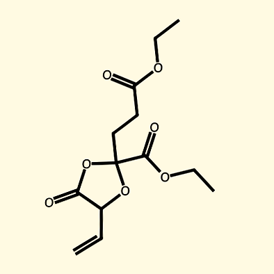 C=CC1OC(CCC(=O)OCC)(C(=O)OCC)OC1=O